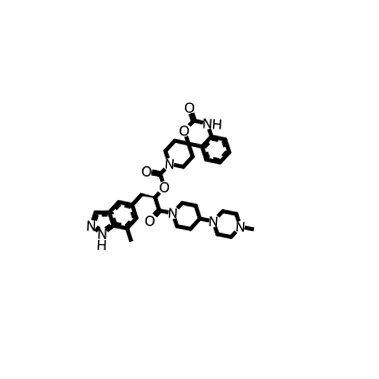 Cc1cc(C[C@@H](OC(=O)N2CCC3(CC2)OC(=O)Nc2ccccc23)C(=O)N2CCC(N3CCN(C)CC3)CC2)cc2cn[nH]c12